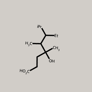 CCC(C(C)C)C(C)C(C)(O)CCC(=O)O